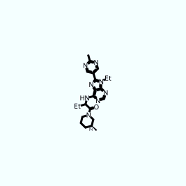 CCC(Nc1ncnc2c1nc(-c1cnc(C)nc1)n2CC)C(=O)N1CCC[C@H](C)C1